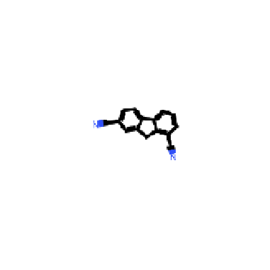 N#Cc1ccc2c(c1)Cc1c(C#N)cccc1-2